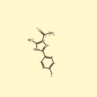 N#Cc1[nH]c(-c2ccc(F)cc2)nc1C(N)=O